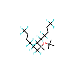 C[Si](C)(C)O[Si](C)(C(F)(F)C(F)(F)C(F)(F)CCC(F)(F)F)C(F)(F)C(F)(F)C(F)(F)CCC(F)(F)F